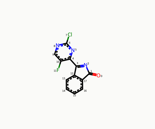 O=C1N=C(c2nc(Cl)ncc2F)c2ccccc21